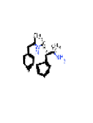 CNC(C)Cc1ccccc1.C[C@H](N)Cc1ccccc1